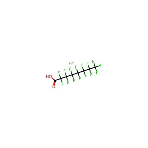 F.O=C(O)C(F)(F)C(F)(F)C(F)(F)C(F)(F)C(F)(F)C(F)(F)C(F)(F)F